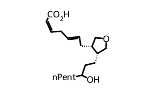 CCCCCC(O)CC[C@H]1COC[C@H]1CC=CC/C=C\C(=O)O